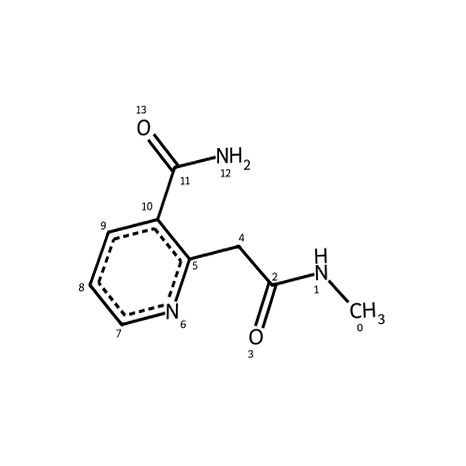 CNC(=O)Cc1ncccc1C(N)=O